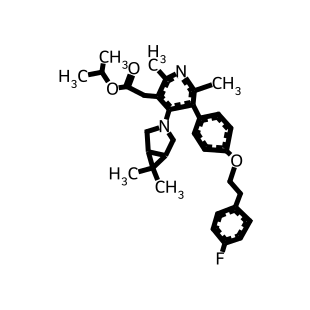 Cc1nc(C)c(-c2ccc(OCCc3ccc(F)cc3)cc2)c(N2CC3C(C2)C3(C)C)c1CC(=O)OC(C)C